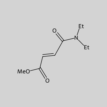 CCN(CC)C(=O)/C=C/C(=O)OC